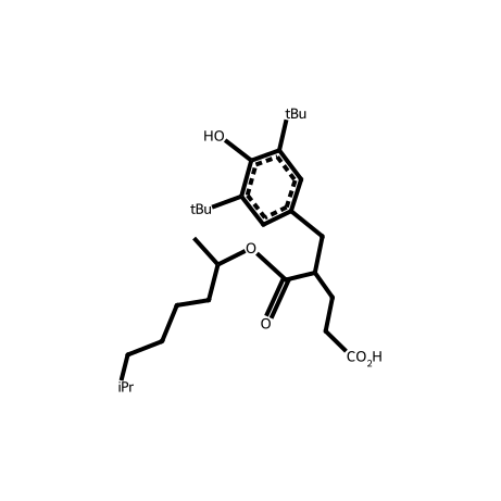 CC(C)CCCCC(C)OC(=O)C(CCC(=O)O)Cc1cc(C(C)(C)C)c(O)c(C(C)(C)C)c1